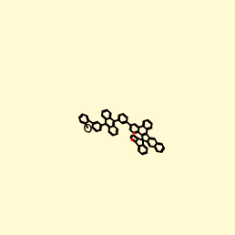 c1cc(-c2ccc3c4c(c5ccccc5c3c2)-c2cc3ccccc3cc2C42c3ccccc3-c3ccccc32)cc(-c2c3ccccc3c(-c3ccc4oc5ccccc5c4c3)c3ccccc23)c1